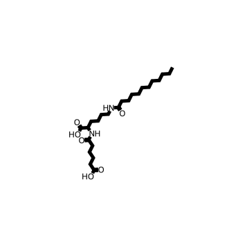 CCCCCCCCCCCC(=O)NCCCCC(NC(=O)CCCCC(=O)O)C(=O)O